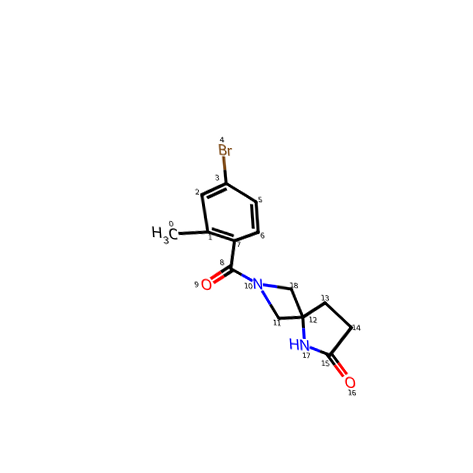 Cc1cc(Br)ccc1C(=O)N1CC2(CCC(=O)N2)C1